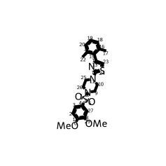 COc1ccc(S(=O)(=O)N2CCN(c3nc(-c4c(C)cccc4C)cs3)CC2)cc1OC